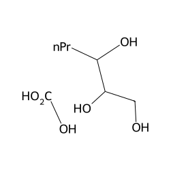 CCCC(O)C(O)CO.O=C(O)O